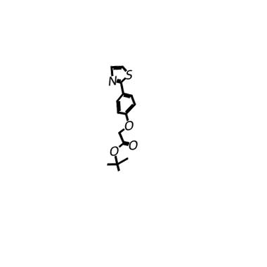 CC(C)(C)OC(=O)COc1ccc(-c2nccs2)cc1